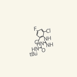 CC(C)(C)NC(=O)NC(=N)Nc1c(Cl)cc(F)cc1Cl